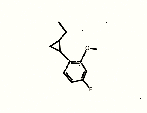 CCC1CC1c1ccc(F)cc1OC